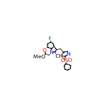 COC(=O)Cn1c(C)c(Cc2cnc(S(=O)(=O)c3ccccc3)s2)c2cc(F)ccc21